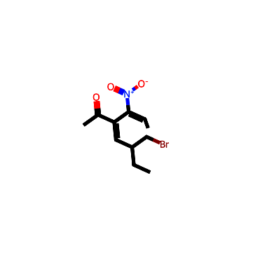 C/C=C(\C(=C/C(CC)CBr)C(C)=O)[N+](=O)[O-]